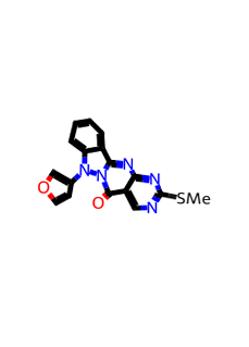 CSc1ncc2c(=O)n3c(nc2n1)c1ccccc1n3-c1ccoc1